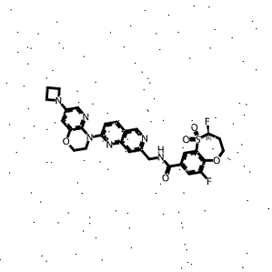 O=C(NCc1cc2nc(N3CCOc4cc(N5CCC5)cnc43)ccc2cn1)c1cc(F)c2c(c1)S(=O)(=O)[C@@H](F)CCO2